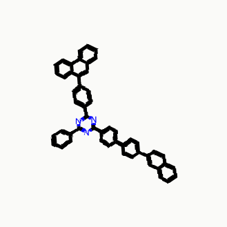 c1ccc(-c2nc(-c3ccc(-c4ccc(-c5ccc6ccccc6c5)cc4)cc3)nc(-c3ccc(-c4cc5ccccc5c5ccccc45)cc3)n2)cc1